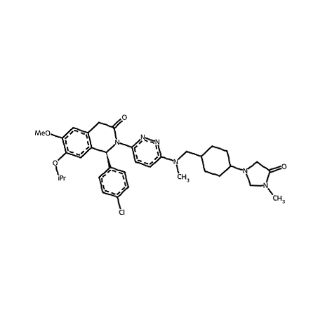 COc1cc2c(cc1OC(C)C)[C@H](c1ccc(Cl)cc1)N(c1ccc(N(C)CC3CCC(N4CC(=O)N(C)C4)CC3)nn1)C(=O)C2